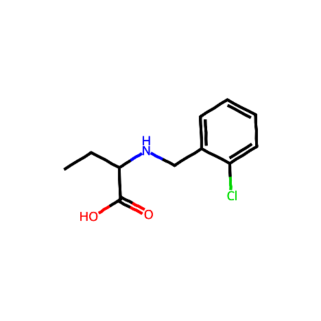 CCC(NCc1ccccc1Cl)C(=O)O